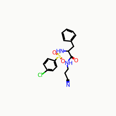 N#CCCNC(=O)C(Cc1ccccc1)NS(=O)(=O)c1ccc(Cl)cc1